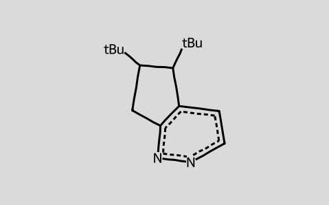 CC(C)(C)C1Cc2nnccc2C1C(C)(C)C